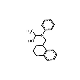 CC(O)N(CC1CCCc2ccccc21)c1ccccc1